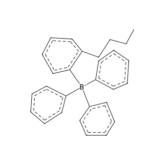 CCCCc1ccccc1[B-](c1ccccc1)(c1ccccc1)c1ccccc1